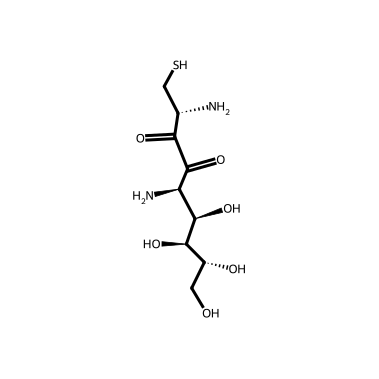 N[C@@H](CS)C(=O)C(=O)[C@H](N)[C@@H](O)[C@H](O)[C@H](O)CO